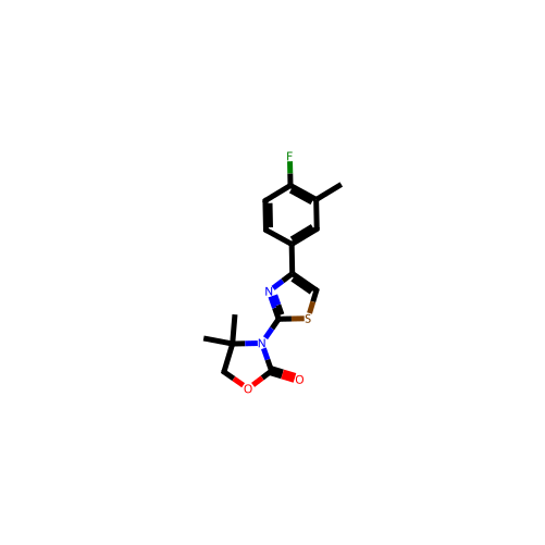 Cc1cc(-c2csc(N3C(=O)OCC3(C)C)n2)ccc1F